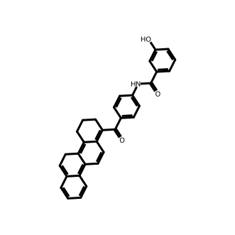 O=C(Nc1ccc(C(=O)C2=c3ccc4c(c3CCC2)CC=c2ccccc2=4)cc1)c1cccc(O)c1